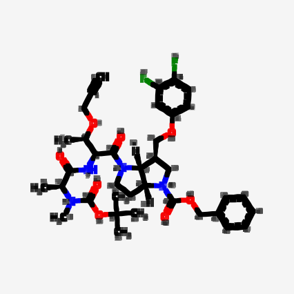 C#CCO[C@H](C)[C@H](NC(=O)[C@H](C)N(C)C(=O)OC(C)(C)C)C(=O)N1CC[C@@H]2[C@H]1[C@@H](COc1ccc(F)c(F)c1)CN2C(=O)OCc1ccccc1